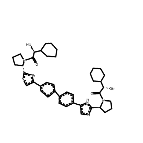 O=C([C@@H](O)C1CCCCC1)N1CCC[C@H]1c1ncc(-c2ccc(-c3ccc(-c4cnc([C@@H]5CCCN5C(=O)[C@@H](O)C5CCCCC5)[nH]4)cc3)cc2)[nH]1